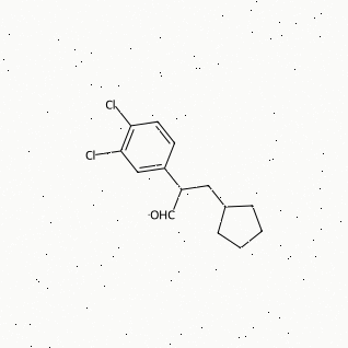 O=[C]C(CC1CCCC1)c1ccc(Cl)c(Cl)c1